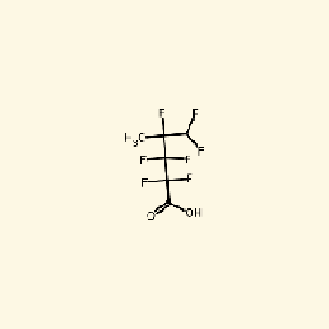 CC(F)(C(F)F)C(F)(F)C(F)(F)C(=O)O